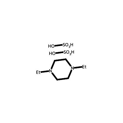 CCN1CCN(CC)CC1.O=S(=O)(O)O.O=S(=O)(O)O